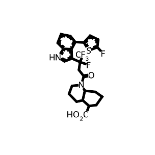 O=C(O)C1CCCC2C1CCCN2C(=O)CC(F)(c1c[nH]c2cccc(-c3ccc(F)s3)c12)C(F)(F)F